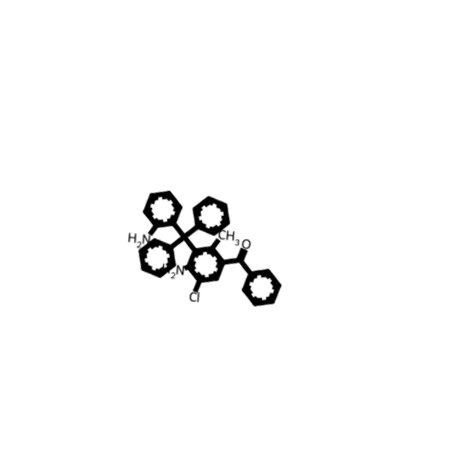 Cc1c(C(=O)c2ccccc2)cc(Cl)c(N)c1C(c1ccccc1)(c1ccccc1)c1ccccc1N